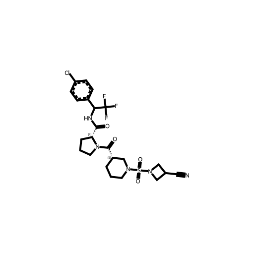 N#CC1CN(S(=O)(=O)N2CCC[C@H](C(=O)N3CCC[C@@H]3C(=O)NC(c3ccc(Cl)cc3)C(F)(F)F)C2)C1